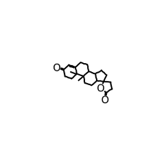 CC12CCC(=O)C=C1CCC1C3CCC4(CCC(=O)O4)C3CCC12C